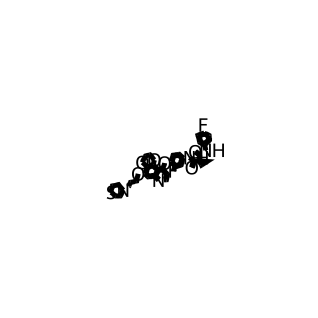 O=C(Nc1ccc(F)cc1)C1(C(=O)Nc2ccc(Oc3ccnc4cc(OCCCN5CCSCC5)c5c(c34)OCCO5)c(F)c2)CC1